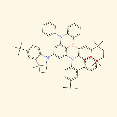 CC(C)(C)c1ccc(N2c3cc4c(cc3B3c5ccccc5N(c5ccccc5)c5cc(N6c7ccc(C(C)(C)C)cc7C7(C)CCC67C)cc2c53)C(C)(C)CCC4(C)C)c(-c2ccccc2)c1